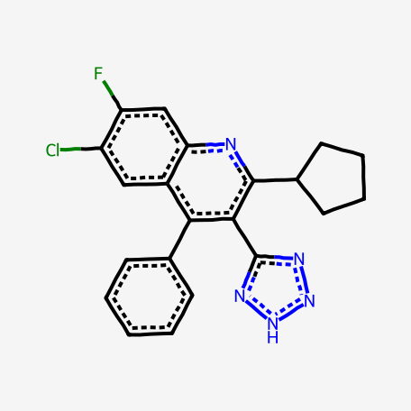 Fc1cc2nc(C3CCCC3)c(-c3nn[nH]n3)c(-c3ccccc3)c2cc1Cl